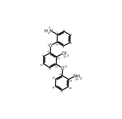 Nc1ccccc1Oc1cccc(Oc2ccccc2N)c1C(F)(F)F